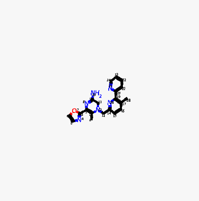 CC1=C(c2ncco2)N=C(N)CN1Cc1ccc(C)c(-c2ccccn2)n1